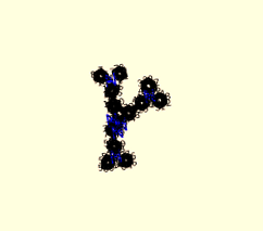 c1ccc(N(c2ccccc2)c2ccc(-c3ccc4c(c3)c3cc(-c5ccc(N(c6ccccc6)c6ccccc6)cc5)ccc3c3nc5nc(-c6ccc(N(c7ccccc7)c7ccccc7)cc6)ccc5nc43)cc2)cc1